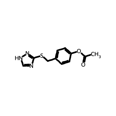 CC(=O)Oc1ccc(CSc2nc[nH]n2)cc1